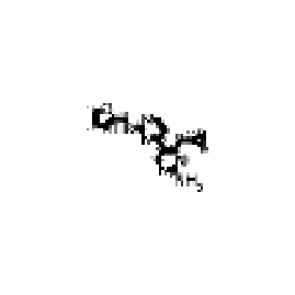 Nc1ncc(-c2ccnc(NCc3ccco3)n2)c(CC2CC2)n1